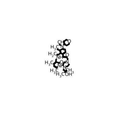 C=C(NCc1c(C)cc(C)[nH]c1=O)c1c(CC)c(N(CC)C2CCOCC2)cc2oc(CN3CCN(CC(C)(C)O)CC3)cc12